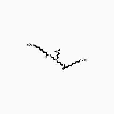 CCCCCCCCCCCCCCCCCC(=O)OCCCN(CCCOC(=O)CCCCCCCCCCCCCCCCC)CCCN(C)C